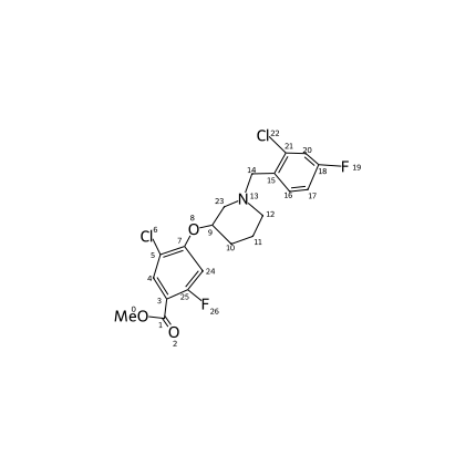 COC(=O)c1cc(Cl)c(OC2CCCN(Cc3ccc(F)cc3Cl)C2)cc1F